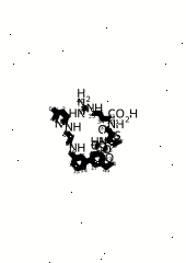 Cc1ccc(NCCCNCc2cccc(-c3cc4c(c(S(=O)(=O)Nc5ccsc5C(=O)N[C@@H](CCCNC(=N)N)C(=O)O)c3)OCC4)c2)nc1